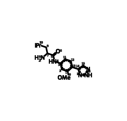 COc1cc(NC(=O)C(N)CC(C)C)ccc1-c1cn[nH]n1